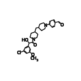 COc1cc(Cl)cc(C(O)C(=O)N2CCC(CC3CCN(c4ccc(C=O)cc4)CC3)CC2)c1